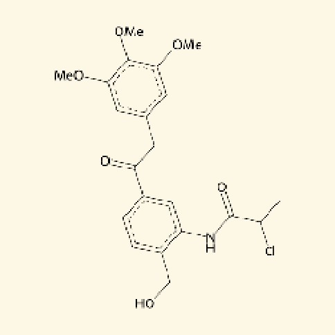 COc1cc(CC(=O)c2ccc(CO)c(NC(=O)C(C)Cl)c2)cc(OC)c1OC